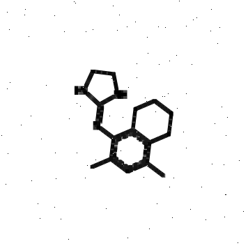 Cc1cc(C)c(N=C2NCCN2)c2c1CCCC2